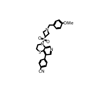 COc1ccc(CN2CC(S(=O)(=O)N3CCSc4c(-c5ccc(C#N)cc5)cncc43)C2)cc1